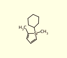 CC1=CC=C[Si]1(C)C1CCCCC1